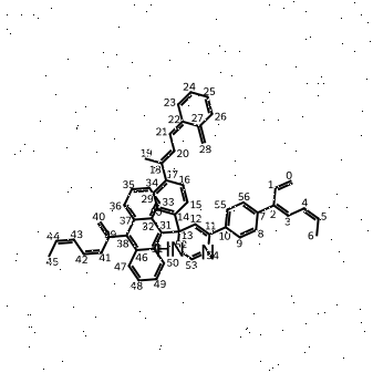 C=C/C(=C\C=C/C)c1ccc(C2=CC(c3ccc(/C(C)=C/C=c4/ccccc4=C)cc3)(c3c4ccccc4c(C(=C)/C=C\C=C/C)c4ccccc34)NC=N2)cc1